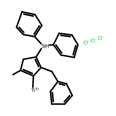 CC1=[C]([Ti+3])C(Cc2ccccc2)=C([SiH](c2ccccc2)c2ccccc2)C1.[Cl-].[Cl-].[Cl-]